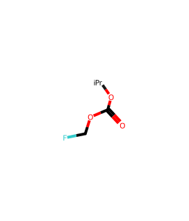 CC(C)OC(=O)OCF